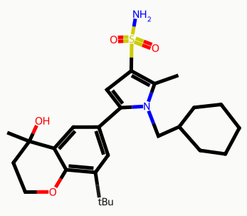 Cc1c(S(N)(=O)=O)cc(-c2cc(C(C)(C)C)c3c(c2)C(C)(O)CCO3)n1CC1CCCCC1